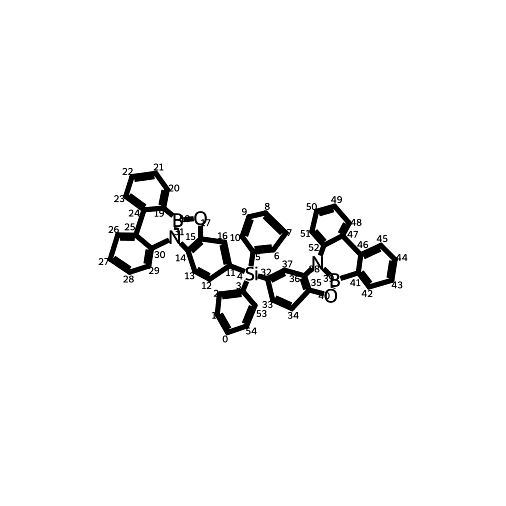 c1ccc([Si](c2ccccc2)(c2ccc3c(c2)OB2c4ccccc4-c4ccccc4N23)c2ccc3c(c2)N2B(O3)c3ccccc3-c3ccccc32)cc1